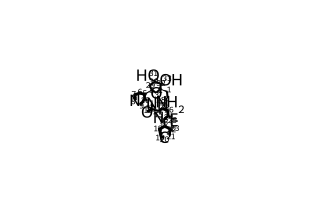 CC[C@H]1O[C@@H](c2ccncc2NC(=O)c2nc(-c3ccccc3F)c(F)cc2N)C[C@@H](O)[C@@H]1O